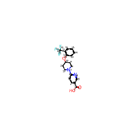 O=C(O)c1ccc(N2CCC(Oc3ccccc3C(F)(F)F)CC2)nc1